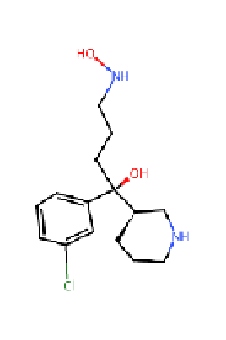 ONCCC[C@@](O)(c1cccc(Cl)c1)[C@@H]1CCCNC1